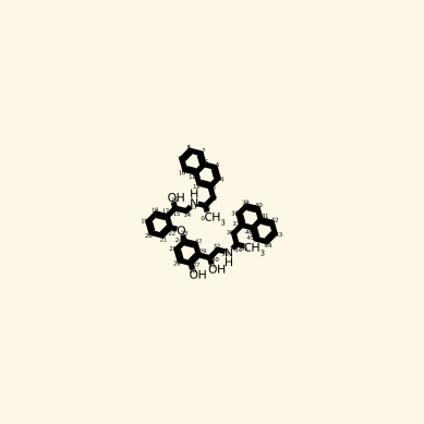 CC(Cc1ccc2ccccc2c1)NCC(O)c1ccccc1Oc1ccc(O)c(C(O)CNC(C)Cc2cccc3ccccc23)c1